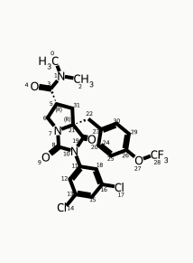 CN(C)C(=O)[C@H]1CN2C(=O)N(c3cc(Cl)cc(Cl)c3)C(=O)[C@]2(Cc2ccc(OC(F)(F)F)cc2)C1